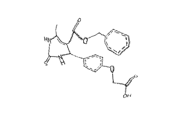 CC1=C(C(=O)OCc2ccccc2)C(c2ccc(OCC(=O)O)cc2)NC(=S)N1